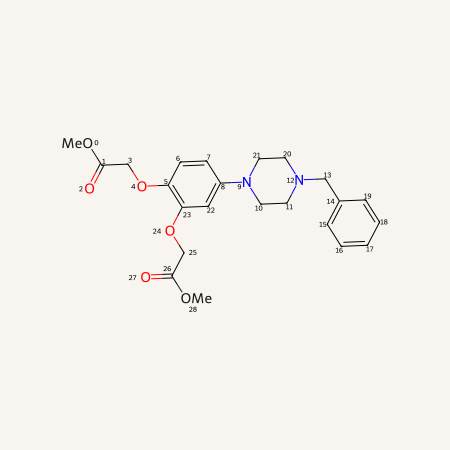 COC(=O)COc1ccc(N2CCN(Cc3ccccc3)CC2)cc1OCC(=O)OC